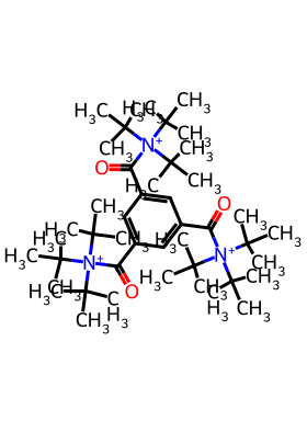 CC(C)(C)[N+](C(=O)c1cc(C(=O)[N+](C(C)(C)C)(C(C)(C)C)C(C)(C)C)cc(C(=O)[N+](C(C)(C)C)(C(C)(C)C)C(C)(C)C)c1)(C(C)(C)C)C(C)(C)C